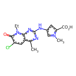 CCn1c(=O)c(Cl)cc2c(C)nc(Nc3cc(C(=O)O)n(C)c3)nc21